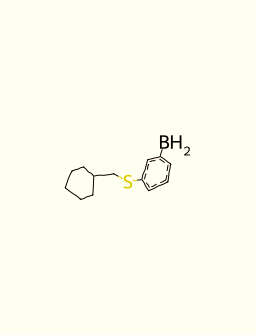 Bc1cccc(SCC2CCCCC2)c1